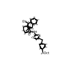 CCCCCCCCc1ccc(Cc2csc(NC(=O)C3(C)CC4(CC)C5=C(C=CCC5)C3c3ccccc34)n2)cc1